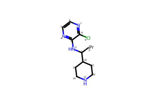 CC(C)C(Nc1nccnc1Cl)C1CCNCC1